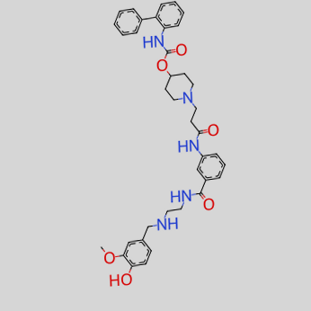 COc1cc(CNCCNC(=O)c2cccc(NC(=O)CCN3CCC(OC(=O)Nc4ccccc4-c4ccccc4)CC3)c2)ccc1O